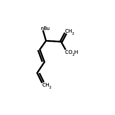 C=CC=CC(CCCC)C(=C)C(=O)O